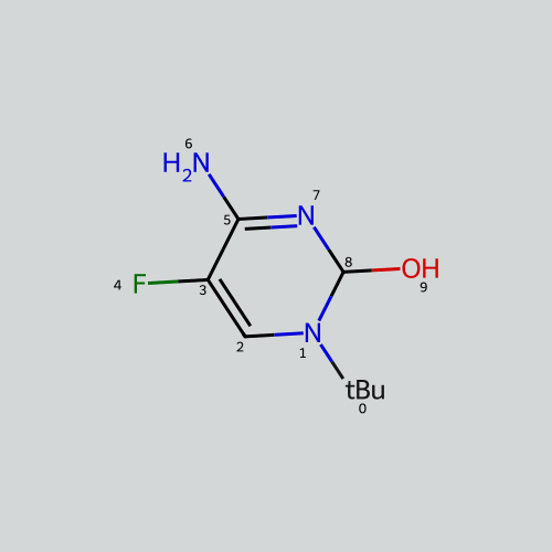 CC(C)(C)N1C=C(F)C(N)=NC1O